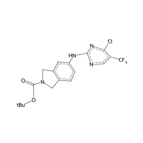 CC(C)(C)OC(=O)N1Cc2ccc(Nc3ncc(C(F)(F)F)c(Cl)n3)cc2C1